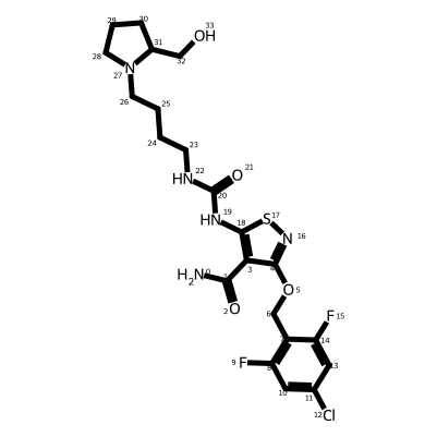 NC(=O)c1c(OCc2c(F)cc(Cl)cc2F)nsc1NC(=O)NCCCCN1CCCC1CO